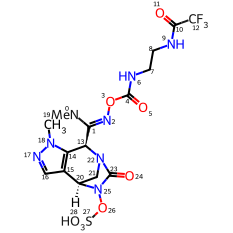 CN/C(=N\OC(=O)NCCNC(=O)C(F)(F)F)[C@@H]1c2c(cnn2C)[C@H]2CN1C(=O)N2OS(=O)(=O)O